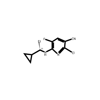 CC[C@H](Nc1nc(Cl)c(C#N)cc1F)C1CC1